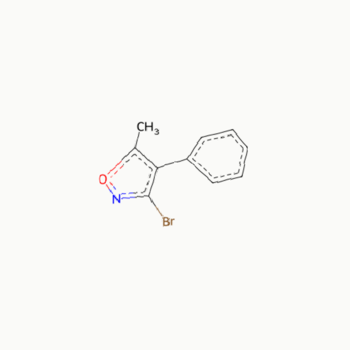 Cc1onc(Br)c1-c1ccccc1